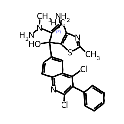 Cc1nc(C)c(C(O)(/C(=C/N)N(C)N)c2ccc3nc(Cl)c(-c4ccccc4)c(Cl)c3c2)s1